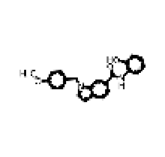 COc1ccc(Cn2ccc3ccc(C(=O)Nc4ccccc4O)cc32)cc1